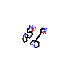 C(#CC12CCCN1CC2)c1ccno1.C(=C/C12CCCN1CC2)/c1ccno1